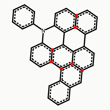 c1ccc(-c2cccc3cccc(-c4ccccc4N(c4ccccc4)c4cccc(-c5cccc6ccccc56)c4)c23)cc1